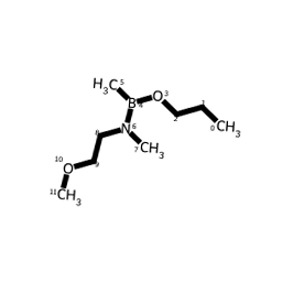 CCCOB(C)N(C)CCOC